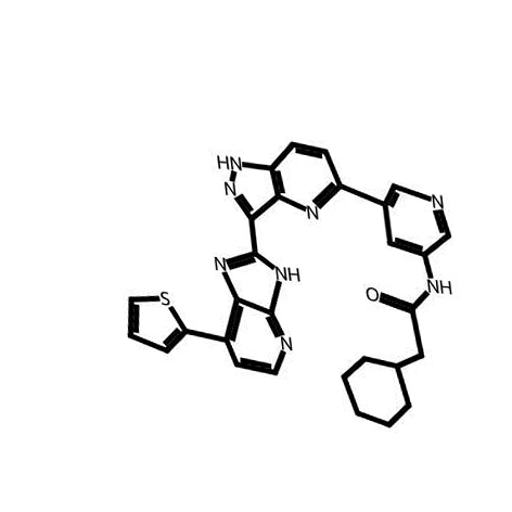 O=C(CC1CCCCC1)Nc1cncc(-c2ccc3[nH]nc(-c4nc5c(-c6cccs6)ccnc5[nH]4)c3n2)c1